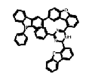 c1ccc(C2=NC(c3cccc4c3oc3ccccc34)NC(c3cccc4oc5ccc(-c6ccc7c(c6)c6ccccc6n7-c6ccccc6)cc5c34)=N2)cc1